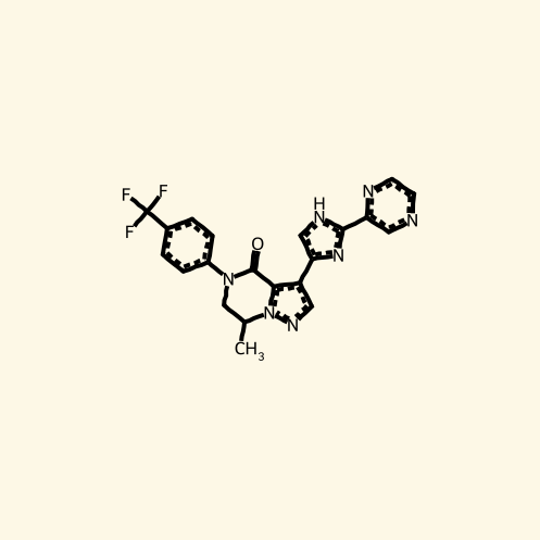 CC1CN(c2ccc(C(F)(F)F)cc2)C(=O)c2c(-c3c[nH]c(-c4cnccn4)n3)cnn21